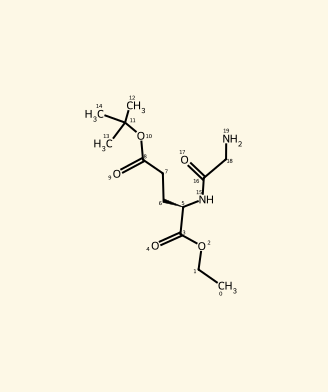 CCOC(=O)[C@@H](CCC(=O)OC(C)(C)C)NC(=O)CN